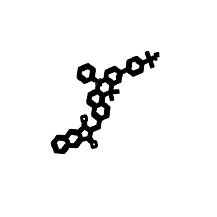 CC(C)(F)c1ccc(-c2ccc3c(c2)C(C)(C)c2c(ccc4cc(C=C5C(=O)c6cc7ccccc7cc6C5=O)ccc24)N3c2ccccc2)cc1